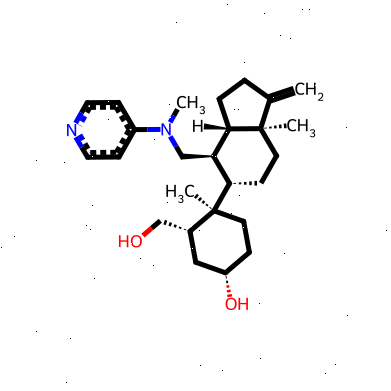 C=C1CC[C@H]2[C@H](CN(C)c3ccncc3)[C@@H]([C@@]3(C)CC[C@H](O)C[C@@H]3CO)CC[C@]12C